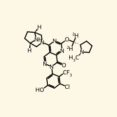 [2H]C([2H])(Oc1nc(N2C[C@H]3CC[C@@H](C2)N3)c2cnn(-c3cc(O)cc(Cl)c3C(F)(F)F)c(=O)c2n1)[C@@H]1CCCN1C